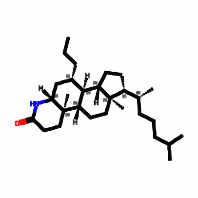 CCC[C@H]1C[C@H]2NC(=O)CC[C@]2(C)[C@H]2CC[C@]3(C)[C@@H]([C@H](C)CCCC(C)C)CC[C@H]3[C@H]12